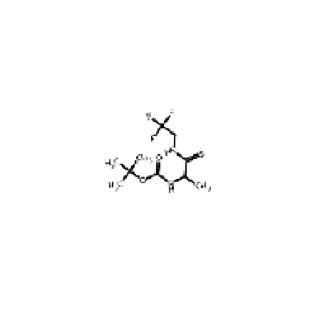 CC(NC(=O)OC(C)(C)C)C(=S)NCC(F)(F)F